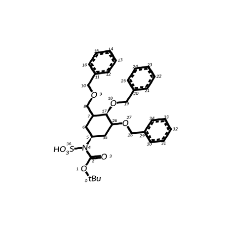 CC(C)(C)OC(=O)N([C@H]1CC(COCc2ccccc2)[C@@H](OCc2ccccc2)C(OCc2ccccc2)C1)S(=O)(=O)O